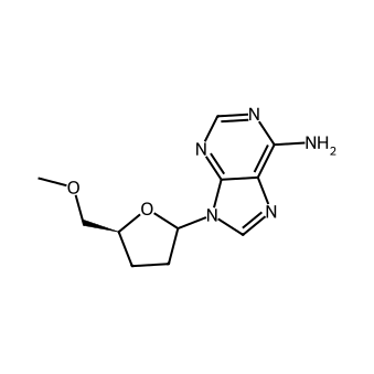 COC[C@@H]1CCC(n2cnc3c(N)ncnc32)O1